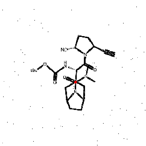 C#CC1CC[C@@H](C#N)N1C(=O)[C@@H](NC(=O)OC(C)(C)C)C1CC2CCC(C1)N2C(=O)N(C)C